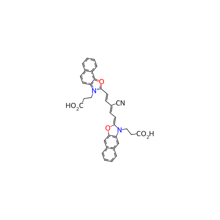 N#CC(=C\C=C1/Oc2cc3ccccc3cc2N1CCC(=O)O)/C=C/c1oc2c3ccccc3ccc2[n+]1CCC(=O)O